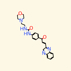 O=C(NCCN1CCOCC1)Nc1ccc(C(=O)/C=C/c2cnc3ccccc3n2)cc1